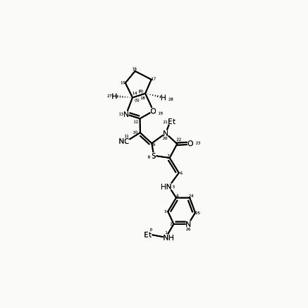 CCNc1cc(NC=c2sc(=C(C#N)C3=N[C@H]4CCC[C@H]4O3)n(CC)c2=O)ccn1